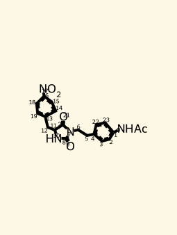 CC(=O)Nc1ccc(CCN2C(=O)NC(Cc3ccc([N+](=O)[O-])cc3)C2=O)cc1